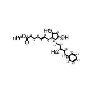 CCCOC(=O)CCC/C=C/C[C@@H]1[C@@H](CC[C@H](O)CCc2ccccc2)[C@H](O)C[C@@H]1O